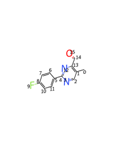 Cc1cnc(-c2ccc(F)cc2)nc1C=O